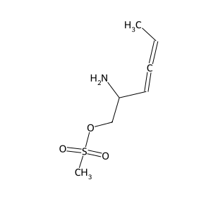 CC=C=CC(N)COS(C)(=O)=O